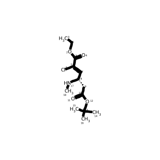 CCOC(=O)/C(Cl)=C/[C@H](CC(=O)OC(C)(C)C)NC